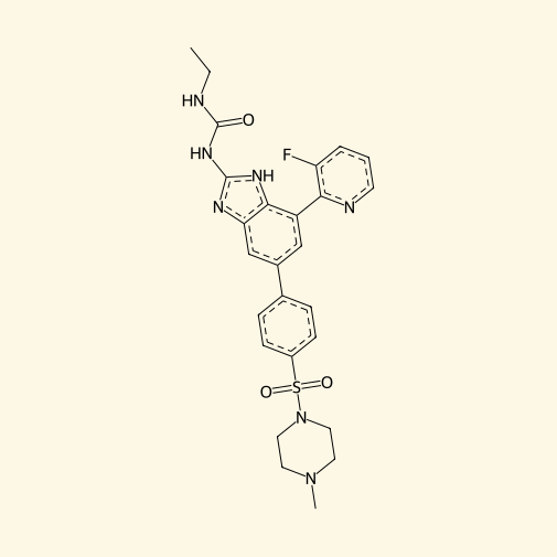 CCNC(=O)Nc1nc2cc(-c3ccc(S(=O)(=O)N4CCN(C)CC4)cc3)cc(-c3ncccc3F)c2[nH]1